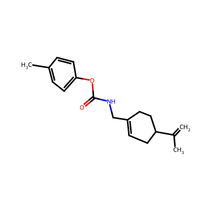 C=C(C)C1CC=C(CNC(=O)Oc2ccc(C)cc2)CC1